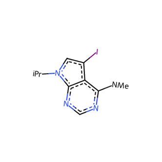 CNc1ncnc2c1c(I)cn2C(C)C